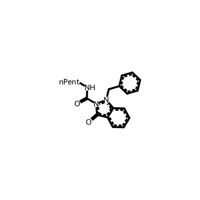 CCCCCNC(=O)n1c(=O)c2ccccc2n1Cc1ccccc1